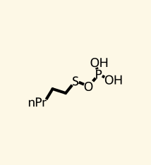 CCCCCSOP(O)O